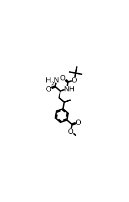 COC(=O)c1cccc(C(C)C[C@H](NC(=O)OC(C)(C)C)C(N)=O)c1